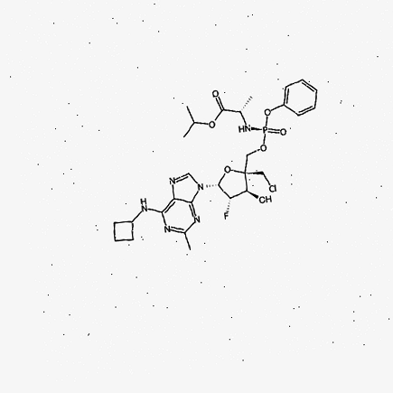 Cc1nc(NC2CCC2)c2ncn([C@@H]3O[C@](CCl)(CO[P@](=O)(N[C@@H](C)C(=O)OC(C)C)Oc4ccccc4)[C@@H](O)[C@@H]3F)c2n1